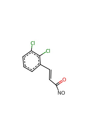 O=NC(=O)C=Cc1cccc(Cl)c1Cl